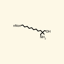 CCCCCCCCCCCCCCCCCCC(C)(CN)CO